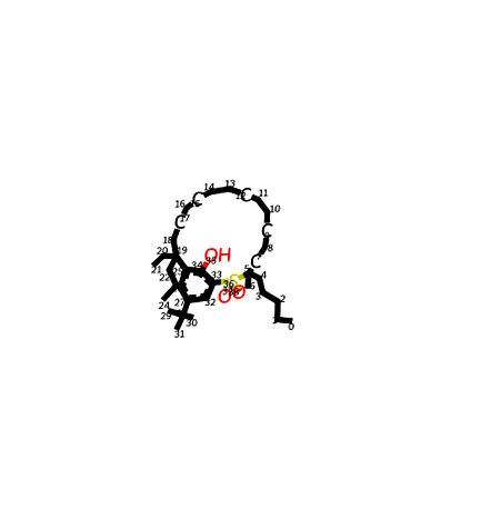 CCCCCC1(C)CCCCCCCCCCCCC(CC)(CCC)c2cc(C(C)(C)C)cc(c2O)S1(=O)=O